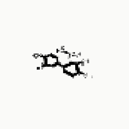 Nc1ccc(-c2ccc(N)c(O)c2)cc1O.O=S(=O)(O)O